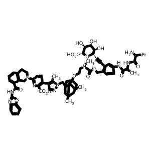 Cc1c(-c2ccc(N3CCc4cccc(C(=O)Nc5nc6ccccc6s5)c4C3)nc2C(=O)O)cnn1CC12CC3(C)CC(C)(C1)CC(OCCN(C)C(=O)OCc1ccc(NC(=O)C(C)NC(=O)C(N)C(C)C)cc1C#C[C@@H]1O[C@H](C(=O)O)[C@@H](O)[C@H](O)[C@H]1O)(C3)C2